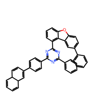 C1=CC2C=CC(c3ccc(-c4nc(-c5ccccc5)nc(-c5cccc6oc7ccc(-c8ccccc8)cc7c56)n4)cc3)=CC2C=C1